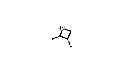 C[C@H]1NC[C@H]1F